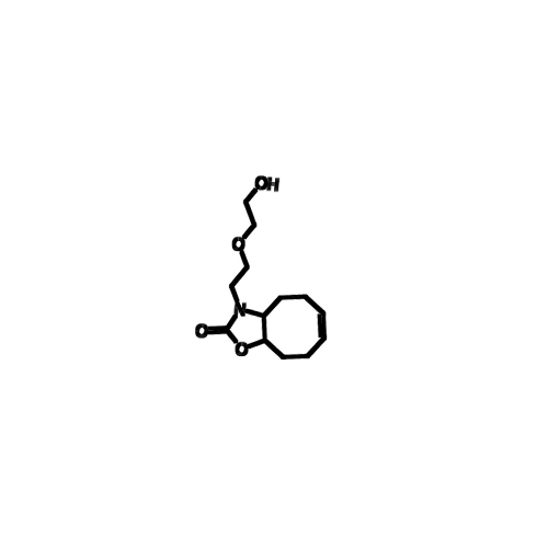 O=C1OC2CC/C=C\CCC2N1CCOCCO